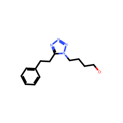 [O]CCCCn1nnnc1CCc1ccccc1